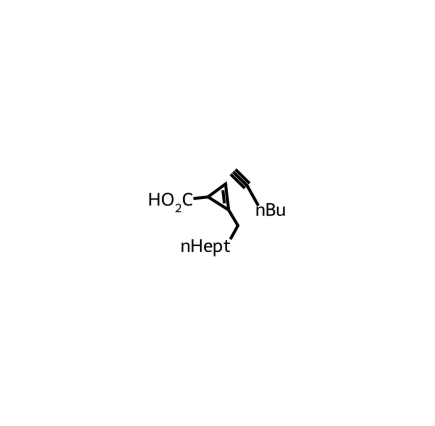 C#CCCCC.CCCCCCCCC1=CC1C(=O)O